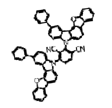 N#Cc1ccc(-n2c3ccc(-c4ccccc4)cc3c3c4oc5ccccc5c4ccc32)c(C#N)c1-n1c2ccc(-c3ccccc3)cc2c2c3oc4ccccc4c3ccc21